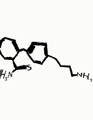 NCCCCc1ccc(-c2ccccc2C(N)=S)cc1